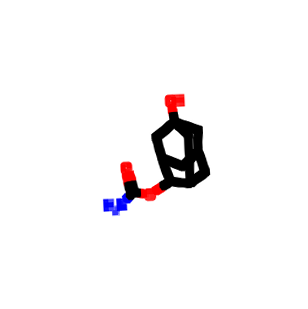 NC(=O)OC1C2CC3CC1CC(O)(C3)C2